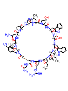 CCCC[C@H]1C(=O)N(C)[C@@H](CCCC)C(=O)N[C@@H](CCCNC(=N)N)C(=O)N[C@H](C(=O)NCC(N)=O)CSCC(=O)N[C@@H](Cc2ccc(CN)cc2)C(=O)N(C)[C@@H](C)C(=O)N[C@@H](CC(N)=O)C(=O)N2CCC[C@H]2C(=O)N[C@@H](CN)C(=O)N[C@@H](CC(C)C)C(=O)N2C[C@H](O)CC2C(=O)N[C@@H](Cc2c[nH]c3ccccc23)C(=O)N[C@@H](CO)C(=O)N[C@@H](Cc2c[nH]c3ccccc23)C(=O)N1C